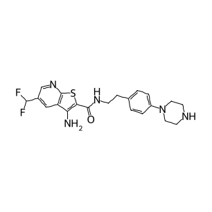 Nc1c(C(=O)NCCc2ccc(N3CCNCC3)cc2)sc2ncc(C(F)F)cc12